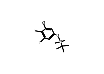 CC(C)(C)[Si](C)(C)Oc1cc(F)c(I)c(Cl)c1